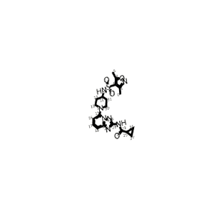 Cc1noc(C)c1S(=O)(=O)NC1CCN(c2cccc3nc(NC(=O)C4CC4)nn23)CC1